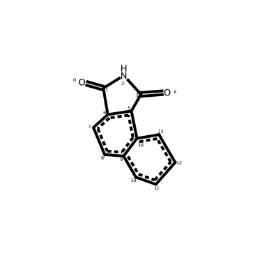 O=C1NC(=O)c2c1c[c]c1ccccc21